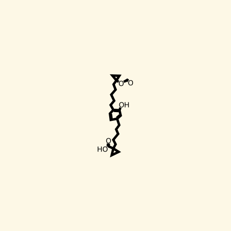 O=COC1(CCCCCc2ccc(CCCCCC3(C(=O)O)CC3)cc2O)CC1